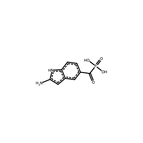 Nc1cc2cc(C(=O)P(=O)(O)O)ccc2[nH]1